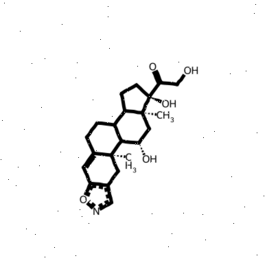 C[C@]12Cc3cnoc3C=C1CCC1C2[C@@H](O)C[C@@]2(C)C1CC[C@]2(O)C(=O)CO